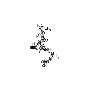 Cc1nc(NCCCCCC(=O)N(C)CCN2CCC(OC(=O)Nc3ccccc3-c3ccccc3)CC2)sc1C(=O)N(C)CCN(C)C(=O)CO[C@H]1Cc2ccccc2C12CCN(CC[C@]1(c3ccc(F)cc3)CN(C(=O)c3cc(C(F)(F)F)cc(C(F)(F)F)c3)CO1)CC2.Cl.Cl.Cl